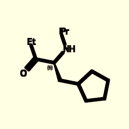 CCC(=O)[C@H](CC1CCCC1)NC(C)C